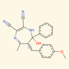 COc1ccc(/C=C2/C(C)=NC(C#N)=C(C#N)NC2(O)c2ccccc2)cc1